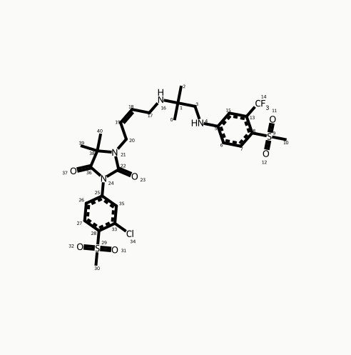 CC(C)(CNc1ccc(S(C)(=O)=O)c(C(F)(F)F)c1)NC/C=C\CN1C(=O)N(c2ccc(S(C)(=O)=O)c(Cl)c2)C(=O)C1(C)C